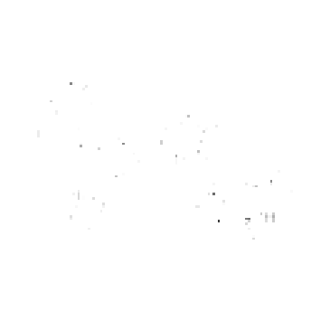 NC(=O)[C@@](CNc1nc(-c2cc(-c3ccon3)n(Cc3ccccc3F)n2)ncc1F)(OP(=O)(O)O)C(F)(F)F